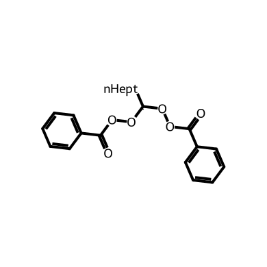 [CH2]CCCCCC[C](OOC(=O)c1ccccc1)OOC(=O)c1ccccc1